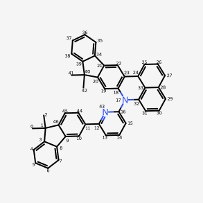 CC1(C)c2ccccc2-c2cc(-c3cccc(N4c5cc6c(cc5-c5cccc7cccc4c57)-c4ccccc4C6(C)C)n3)ccc21